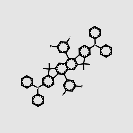 CC1(C)c2cc(N(c3ccccc3)c3ccccc3)ccc2-c2c1cc1c(-c3cc(F)cc(F)c3)c3c(cc1c2-c1cc(F)cc(F)c1)C(C)(C)c1cc(N(c2ccccc2)c2ccccc2)ccc1-3